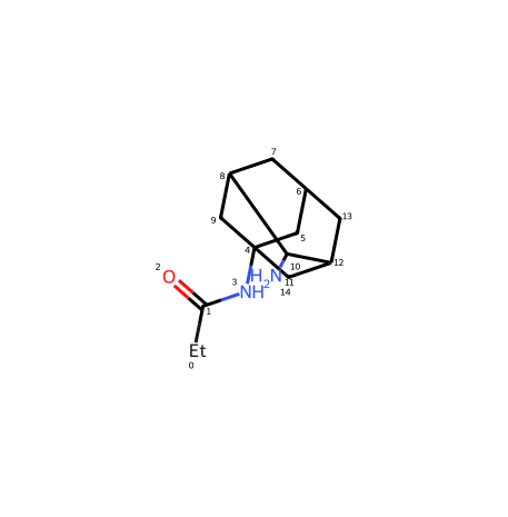 CCC(=O)NC12CC3CC(C1)C(N)C(C3)C2